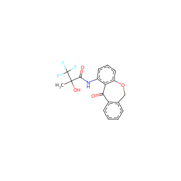 CC(O)(C(=O)Nc1cccc2c1C(=O)c1ccccc1CO2)C(F)(F)F